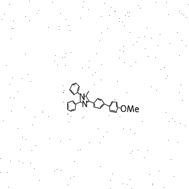 COc1ccc(-c2ccc(C3=NC(c4ccccc4)N(c4ccccc4)C3C)cc2)cc1